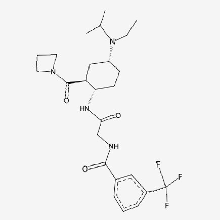 CCN(C(C)C)[C@@H]1CC[C@H](NC(=O)CNC(=O)c2cccc(C(F)(F)F)c2)[C@@H](C(=O)N2CCC2)C1